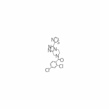 O=C(c1ccc(Cl)cc1Cl)N1CCn2c(nnc2-c2nccs2)C1